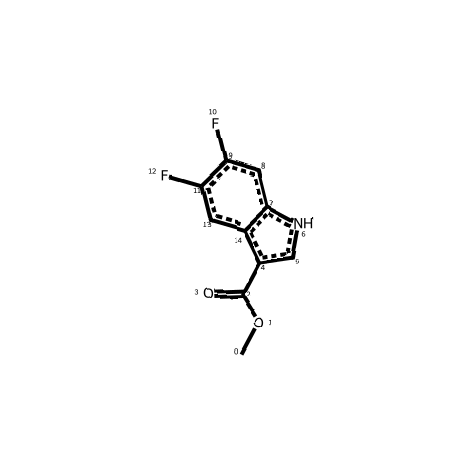 COC(=O)c1c[nH]c2cc(F)c(F)cc12